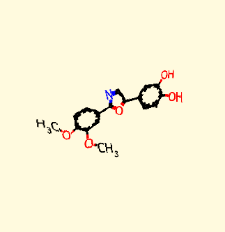 COc1ccc(-c2ncc(-c3ccc(O)c(O)c3)o2)cc1OC